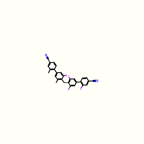 Cc1cc(C#N)ccc1-c1cc(C)c(Cc2c(I)cc(-c3ccc(C#N)cc3I)cc2I)c(I)c1